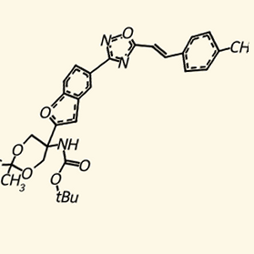 Cc1ccc(C=Cc2nc(-c3ccc4oc(C5(NC(=O)OC(C)(C)C)COC(C)(C)OC5)cc4c3)no2)cc1